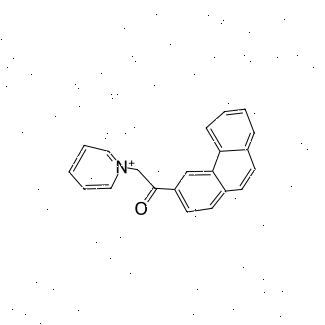 O=C(C[n+]1ccccc1)c1ccc2ccc3ccccc3c2c1